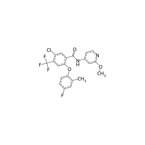 COc1cc(NC(=O)c2cc(Cl)c(C(F)(F)F)cc2Oc2ccc(F)cc2C)ccn1